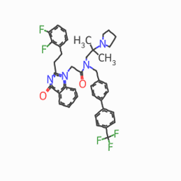 CC(C)(CN(Cc1ccc(-c2ccc(C(F)(F)F)cc2)cc1)C(=O)Cn1c(CCc2cccc(F)c2F)nc(=O)c2ccccc21)N1CCCC1